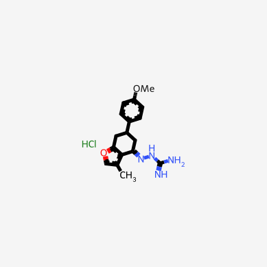 COc1ccc(C2C/C(=N\NC(=N)N)c3c(C)coc3C2)cc1.Cl